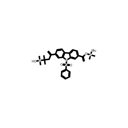 C=C(CC(C)(C)[Si](C)(C)O)c1ccc2c3ccc(C(=C)O[Si](C)(C)C(C)(C)C)cc3n(S(=O)(=O)c3ccccc3)c2c1